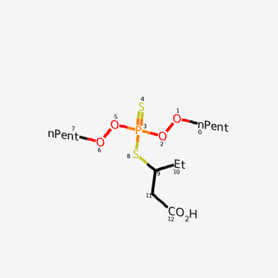 CCCCCOOP(=S)(OOCCCCC)SC(CC)CC(=O)O